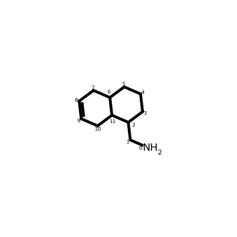 NCC1CCCC2CC=CCC12